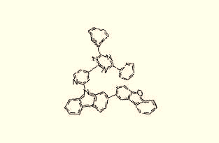 c1ccc(-c2nc(-c3ccccc3)nc(-c3ccnc(-n4c5ccccc5c5ccc(-c6ccc7oc8ccccc8c7c6)cc54)c3)n2)cc1